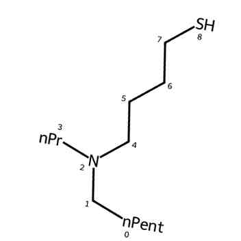 CCCCCCN(CCC)CCCCS